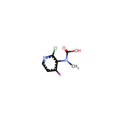 CN(C(=O)O)c1c(I)ccnc1Cl